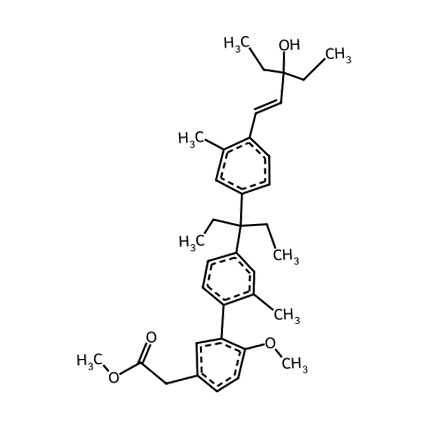 CCC(O)(C=Cc1ccc(C(CC)(CC)c2ccc(-c3cc(CC(=O)OC)ccc3OC)c(C)c2)cc1C)CC